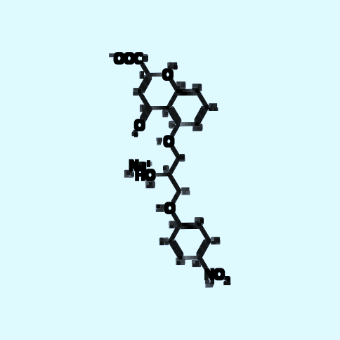 O=C([O-])c1cc(=O)c2c(OCC(O)COc3ccc([N+](=O)[O-])cc3)cccc2o1.[Na+]